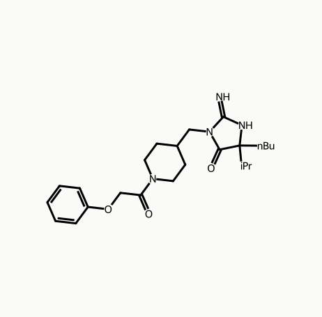 CCCCC1(C(C)C)NC(=N)N(CC2CCN(C(=O)COc3ccccc3)CC2)C1=O